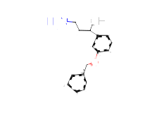 CC(CCN)c1cccc(OCc2ccccc2)c1